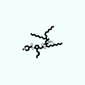 CC/C=C\CC1C(CC(=O)OC(CCCCCCCC)C(C)(C)CC(C)(N)C(CCCCCCCC)CCCCCCCC)CCC1OC(=O)C1CCN(C)CC1